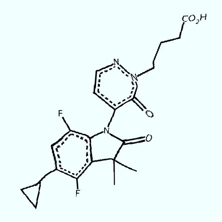 CC1(C)C(=O)N(c2ccnn(CCCC(=O)O)c2=O)c2c(F)cc(C3CC3)c(F)c21